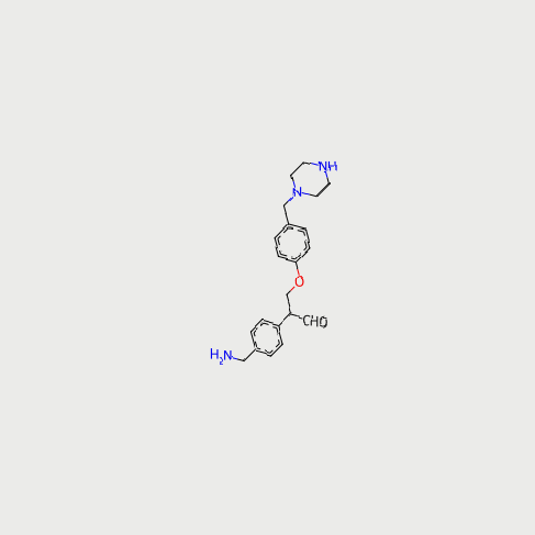 NCc1ccc(C(C=O)COc2ccc(CN3CCNCC3)cc2)cc1